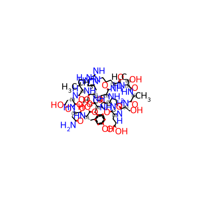 CC(C)C[C@H](N)C(=O)N[C@@H](CCCNC(=N)N)C(=O)N[C@H](C(=O)N[C@@H](C)C(=O)N[C@@H](CO)C(=O)N[C@@H](CCC(=O)O)C(=O)N1CCC[C@H]1C(=O)N[C@@H](Cc1ccc(O)cc1)C(=O)N[C@@H](Cc1c[nH]cn1)C(=O)N[C@H](C(=O)N[C@@H](CC(=O)O)C(=O)N[C@@H](CC(N)=O)C(=O)N[C@@H](Cc1ccccc1)C(=O)O)C(C)C)[C@@H](C)O